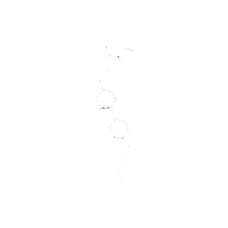 C=CC(=O)N(C)CCCc1ccc(-c2ccc(CCCCC)cc2)cc1